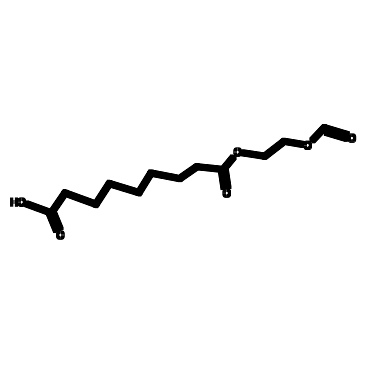 O=COCCOC(=O)CCCCCCCC(=O)O